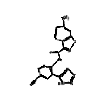 N#Cc1ccc(NC(=O)c2noc3cc(N)ccc23)c(-c2nnn[nH]2)c1